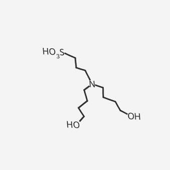 O=S(=O)(O)CCCN(CCCCO)CCCCO